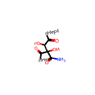 CCCCCCCC(=O)C(O)C(O)(C(N)=O)C(=O)CCCCCCC